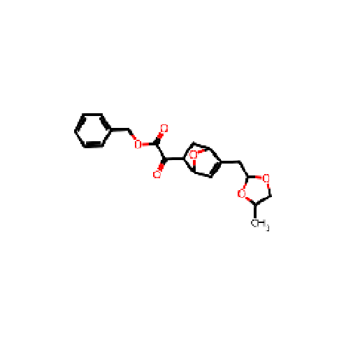 CC1COC(CC2=CC3OC2CC3C(=O)C(=O)OCc2ccccc2)O1